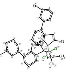 CCC1=Cc2c(-c3cccc(CC)c3)cccc2[CH]1[Zr]([Cl])([Cl])([CH]1C(CC)=Cc2c(-c3cccc(CC)c3)cccc21)[SiH](C)C